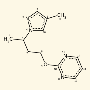 Cc1cnn(C(C)CCOc2ncccn2)c1